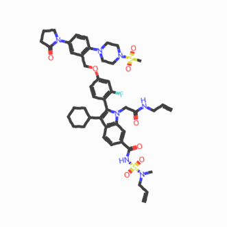 C=CCNC(=O)Cn1c(-c2ccc(OCc3cc(N4CCCC4=O)ccc3N3CCN(S(C)(=O)=O)CC3)cc2F)c(C2CCCCC2)c2ccc(C(=O)NS(=O)(=O)N(C)CC=C)cc21